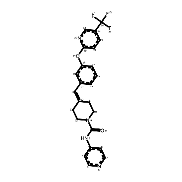 O=C(Nc1ccncc1)N1CCC(=Cc2cccc(Oc3ccc(C(F)(F)F)cn3)c2)CC1